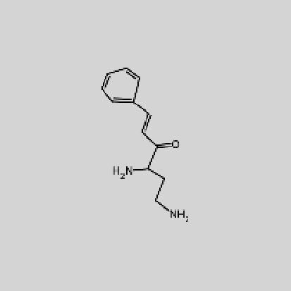 NCCC(N)C(=O)/C=C/c1ccccc1